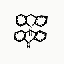 c1ccc2c(c1)Cc1ccccc1N2.c1ccc2c(c1)Nc1ccccc1N2